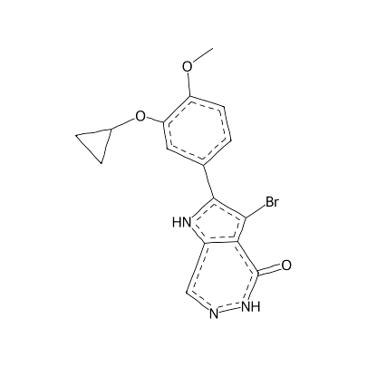 COc1ccc(-c2[nH]c3cn[nH]c(=O)c3c2Br)cc1OC1CC1